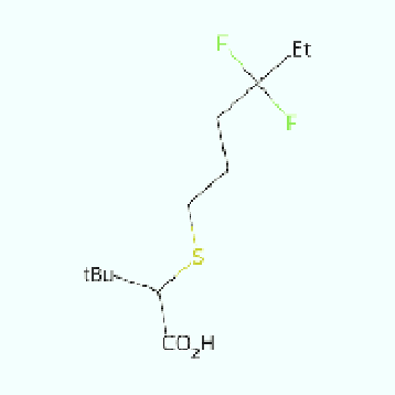 CCC(F)(F)CCCSC(C(=O)O)C(C)(C)C